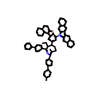 CCC1/C(c2ccc(-c3ccccc3)cc2)=N\C(c2ccc(-c3ccc(C)cc3)cc2)=C(/C)CCC1c1cc(-n2c3cc4ccccc4cc3c3cc4ccccc4cc32)c2sc3ccc4ccccc4c3c2c1